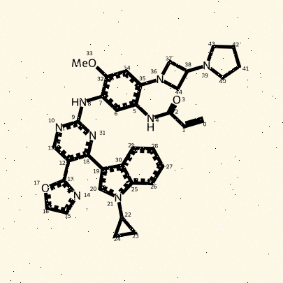 C=CC(=O)Nc1cc(Nc2ncc(-c3ncco3)c(-c3cn(C4CC4)c4ccccc34)n2)c(OC)cc1N1CC(N2CCCC2)C1